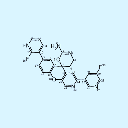 NC1=NCC[C@]2(O1)c1cc(-c3cccnc3F)ccc1Oc1cnc(-c3cncc(F)c3)cc12